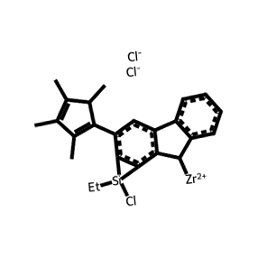 CC[Si]1(Cl)c2c(C3=C(C)C(C)=C(C)C3C)cc3c(c21)[CH]([Zr+2])c1ccccc1-3.[Cl-].[Cl-]